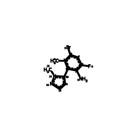 Cc1c(Br)cc(F)c(N)c1-c1ccnn1C